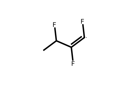 CC(F)/C(F)=[C]\F